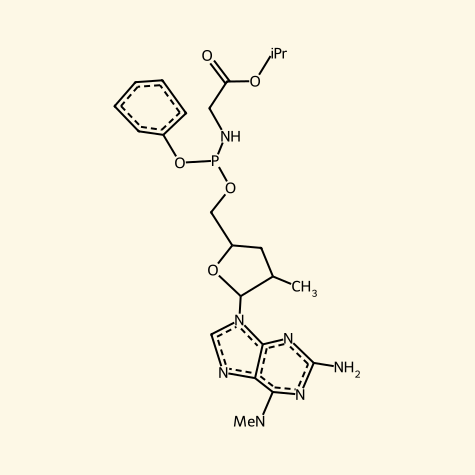 CNc1nc(N)nc2c1ncn2C1OC(COP(NCC(=O)OC(C)C)Oc2ccccc2)CC1C